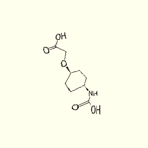 O=C(O)CO[C@H]1CC[C@@H](NC(=O)O)CC1